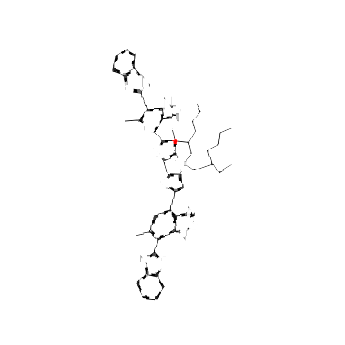 CCCCC(CC)C[Si]1(CC(CC)CCCC)c2cc(-c3cc(C)c(-c4nc5ccccc5s4)c4nsnc34)sc2-c2sc(-c3cc(C)c(-c4nc5ccccc5s4)c4nsnc34)cc21